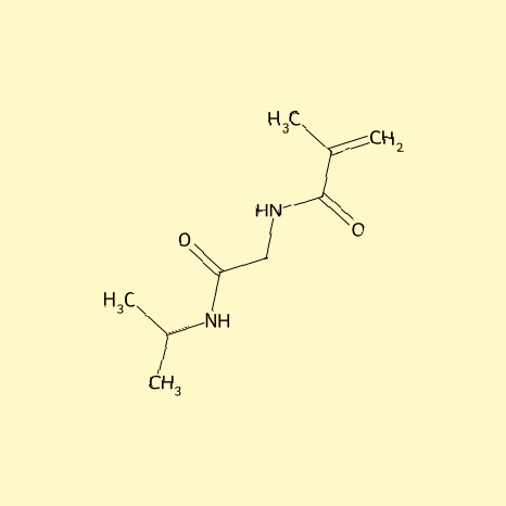 C=C(C)C(=O)NCC(=O)NC(C)C